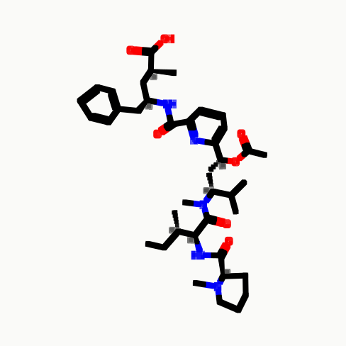 CC[C@H](C)[C@H](NC(=O)[C@H]1CCCCN1C)C(=O)N(C)[C@H](C[C@@H](OC(C)=O)c1cccc(C(=O)N[C@@H](Cc2ccccc2)C[C@H](C)C(=O)O)n1)C(C)C